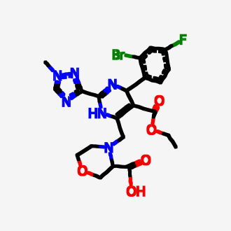 CCOC(=O)C1=C(CN2CCOCC2C(=O)O)NC(c2ncn(C)n2)=NC1c1ccc(F)cc1Br